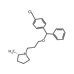 C[C@H]1CCCN1CCCOC(c1ccccc1)c1ccc(Cl)cc1